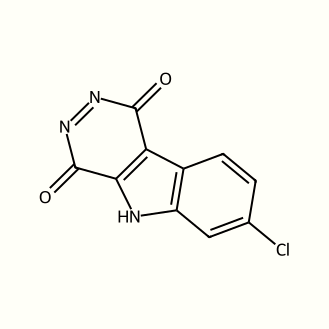 O=C1N=NC(=O)c2c1[nH]c1cc(Cl)ccc21